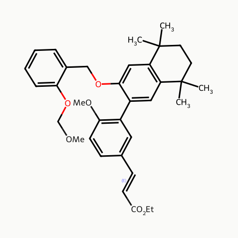 CCOC(=O)/C=C/c1ccc(OC)c(-c2cc3c(cc2OCc2ccccc2OCOC)C(C)(C)CCC3(C)C)c1